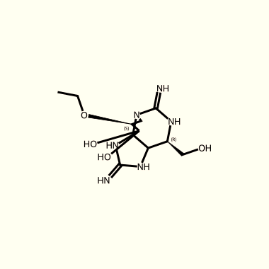 CCO[C@H]1CN2C(=N)N[C@@H](CO)C3NC(=N)NC32C1(O)O